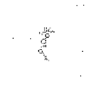 COc1ccc(C2=CC=C(NCc3cccc(CCOC(F)(F)F)c3)CC=C2)cc1C(C)(C)CC(=O)O